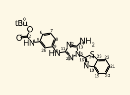 CC(C)(C)OC(=O)Nc1cccc(Nc2nc(N)n(-c3nc4ccccc4s3)n2)c1